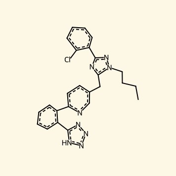 CCCCn1nc(-c2ccccc2Cl)nc1Cc1ccc(-c2ccccc2-c2nnn[nH]2)nc1